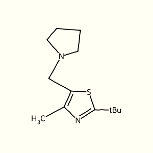 Cc1nc(C(C)(C)C)sc1CN1CCCC1